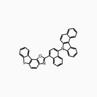 c1ccc2c(c1)ccc1c2c2ccccc2n1-c1ccc(-c2nc3ccc4sc5ccccc5c4c3o2)c2ccccc12